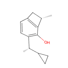 C[C@H](c1ccc2c(c1O)[C@@H](C)C2)C1CC1